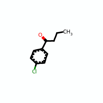 CCCC(=O)c1ccc(Cl)cc1